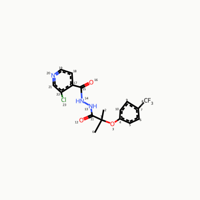 CC(C)(Oc1ccc(C(F)(F)F)cc1)C(=O)NNC(=O)c1ccncc1Cl